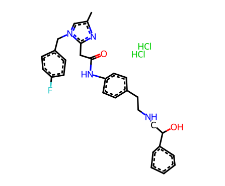 Cc1cn(Cc2ccc(F)cc2)c(CC(=O)Nc2ccc(CCNCC(O)c3ccccc3)cc2)n1.Cl.Cl